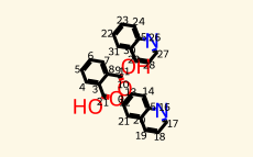 O=C(O)c1ccccc1C(=O)O.c1ccc2ncccc2c1.c1ccc2ncccc2c1